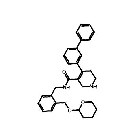 O=C(NCc1ccccc1COC1CCCCO1)C1=C(c2cccc(-c3ccccc3)c2)CCNC1